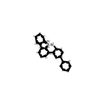 Brc1ccc(-c2ccccc2)cc1-c1cccc2c1[nH]c1ccccc12